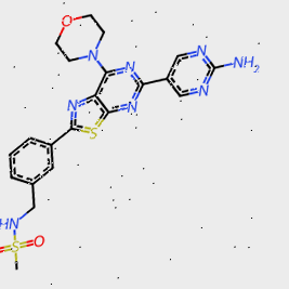 CS(=O)(=O)NCc1cccc(-c2nc3c(N4CCOCC4)nc(-c4cnc(N)nc4)nc3s2)c1